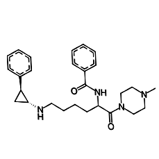 CN1CCN(C(=O)C(CCCCN[C@@H]2C[C@H]2c2ccccc2)NC(=O)c2ccccc2)CC1